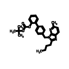 CCCCc1nc2ccc(C)nc2n1Cc1ccc(-c2ccccc2OC(=O)OC(C)(C)C)cc1